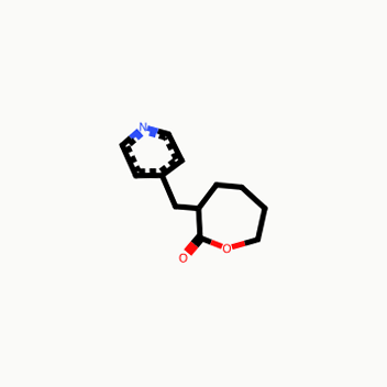 O=C1OCCCCC1Cc1ccncc1